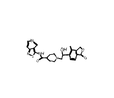 Cc1c(C(O)CN2CCC(C(=O)Nc3snc4ccncc34)CC2)ccc2c1COC2=O